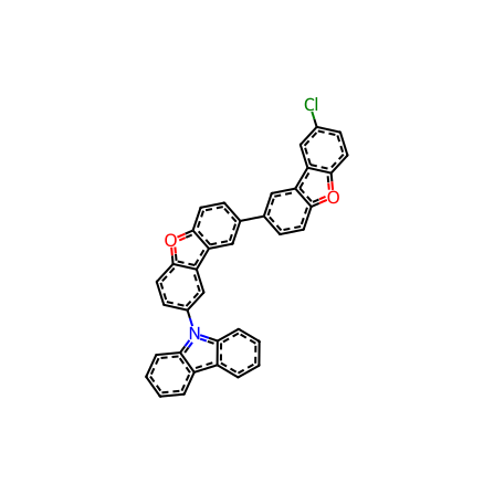 Clc1ccc2oc3ccc(-c4ccc5oc6ccc(-n7c8ccccc8c8ccccc87)cc6c5c4)cc3c2c1